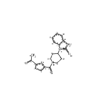 O=C(c1ccc(C(=O)C(F)(F)F)s1)N1CCC(n2c(=O)[nH]c3ccccc32)CC1